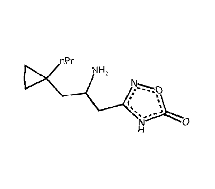 CCCC1(CC(N)Cc2noc(=O)[nH]2)CC1